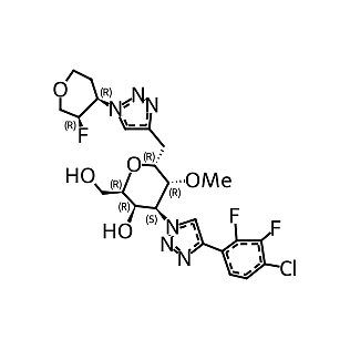 CO[C@@H]1[C@@H](n2cc(-c3ccc(Cl)c(F)c3F)nn2)[C@@H](O)[C@@H](CO)O[C@@H]1Cc1cn([C@@H]2CCOC[C@@H]2F)nn1